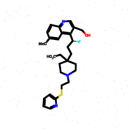 COc1ccc2ncc(CO)c([C@H](F)CCC3(CC(=O)O)CCN(CCSc4ccccn4)CC3)c2c1